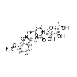 O=c1ccn([C@@H]2O[C@H](CO)C(O)[C@@H]2O)c(=O)n1Cc1noc2c(OC(F)(F)F)cccc12